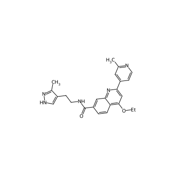 CCOc1cc(-c2ccnc(C)c2)nc2cc(C(=O)NCCc3c[nH]nc3C)ccc12